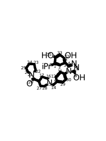 CC(C)c1cc(-c2nnc(O)n2-c2ccc(CN3CCC(C(=O)N4CCCCC4)CC3)cc2)c(O)cc1O